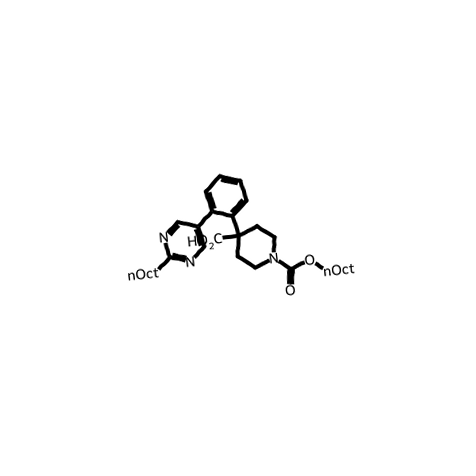 CCCCCCCCOC(=O)N1CCC(C(=O)O)(c2ccccc2-c2cnc(CCCCCCCC)nc2)CC1